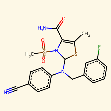 CC1=C(C(N)=O)N(S(C)(=O)=O)C(N(Cc2cccc(F)c2)c2ccc(C#N)cc2)S1